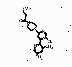 CSCCC(=O)N1CCN(c2cc(-c3ncc(C)cc3C)c(Cl)cn2)CC1